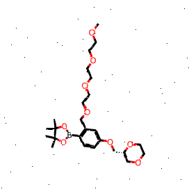 COCCOCCOCCOCc1cc(OC[C@H]2COCCO2)ccc1B1OC(C)(C)C(C)(C)O1